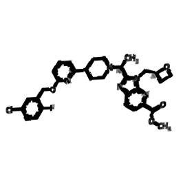 COC(=O)c1ccc2nc([C@H](C)N3CCC(c4cccc(OCc5cc(Cl)ccc5F)n4)CC3)n(C[C@@H]3CCO3)c2n1